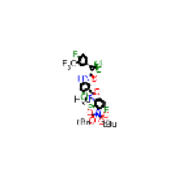 CN(C(=O)c1cc(NC(=O)[C@H]2[C@H](c3ccc(F)c(C(F)(F)F)c3)C2(Cl)Cl)ccc1Cl)c1ccc(F)c(N(C(=O)OC(C)(C)C)C(=O)OC(C)(C)C)c1F